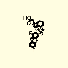 CN(C1CCCc2c1cnn2CC(=O)O)S(=O)(=O)c1cc(F)c(Oc2ccc(F)cc2)c(F)c1